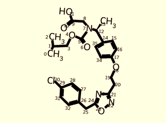 CC(C)COC(=O)N(CC(=O)O)[C@@H](C)c1ccc(OCCc2noc(Cc3ccc(Cl)cc3)n2)cc1